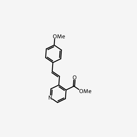 COC(=O)c1ccncc1C=Cc1ccc(OC)cc1